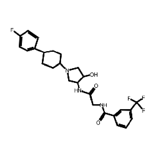 O=C(CNC(=O)c1cccc(C(F)(F)F)c1)NC1CN(C2CCC(c3ccc(F)cc3)CC2)CC1O